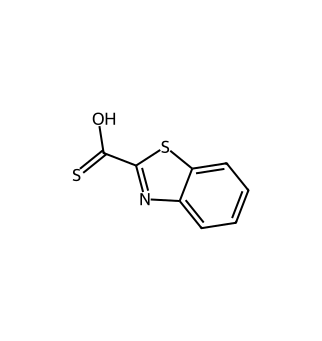 OC(=S)c1nc2ccccc2s1